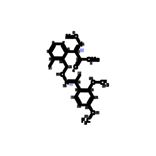 CO/N=C(/C(=O)OC)c1cccc(C)c1CO/N=C(\C)c1ccc(OC(F)(F)F)cc1OC(F)(F)F